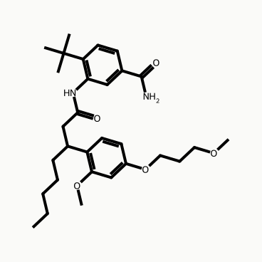 CCCCCC(CC(=O)Nc1cc(C(N)=O)ccc1C(C)(C)C)c1ccc(OCCCOC)cc1OC